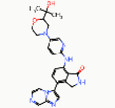 CC(C)(O)C1CN(c2ccc(Nc3ccc(-c4cnc5cnccn45)c4c3C(=O)NC4)nc2)CCO1